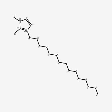 CCCCCCCCCCCCCCC[n+]1ccn(C)c1C